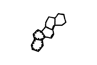 C1=Cc2c(ccc3ccccc23)C2CCC3CCCCC3=C12